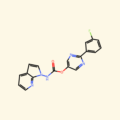 O=C(Nn1ccc2cccnc21)Oc1cnc(-c2cccc(F)c2)nc1